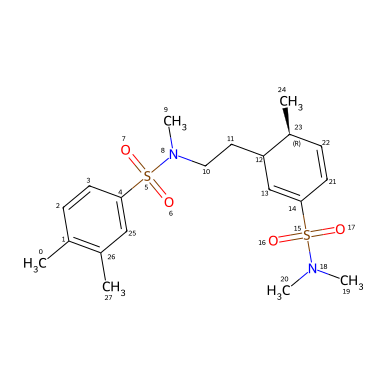 Cc1ccc(S(=O)(=O)N(C)CCC2C=C(S(=O)(=O)N(C)C)C=C[C@@H]2C)cc1C